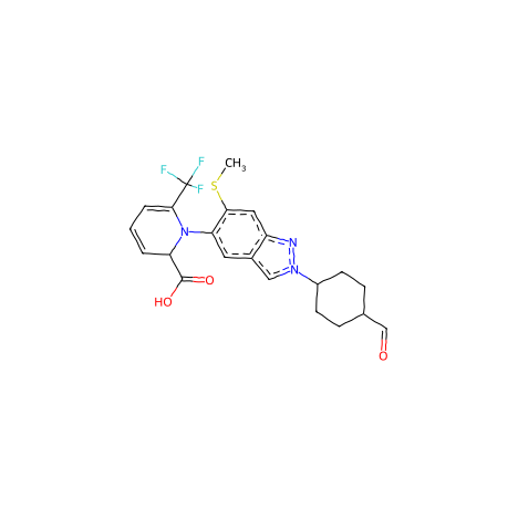 CSc1cc2nn(C3CCC(C=O)CC3)cc2cc1N1C(C(F)(F)F)=CC=CC1C(=O)O